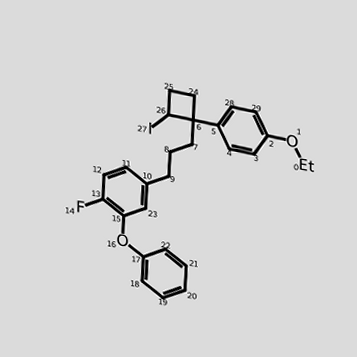 CCOc1ccc(C2(CCCc3ccc(F)c(Oc4ccccc4)c3)CCC2I)cc1